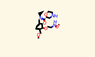 COCC1=CC=C(CN(C(=O)[C@H]2CNCCO2)C2CC2)CC1OCCNOC